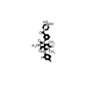 Cc1c(=O)n(C)c(Nc2ccc(I)cc2F)c2c(=O)n(C)c(=O)n(-c3cccc(C(=O)N4CCS(O)(O)CC4)c3)c12